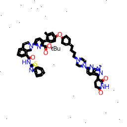 Cc1cc(OC2CCC(CCCCN3CCN(c4ccc5c(C6CCC(=O)NC6=O)nn(C)c5n4)CC3)CC2)ccc1-c1ccc(N2CCc3cccc(C(=O)Nc4nc5ccccc5s4)c3C2)nc1C(=O)OC(C)(C)C